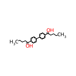 CCCC[C@@H](O)c1ccc(-c2ccc([C@H](O)CCCC)cc2)cc1